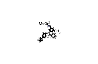 COC(=O)/C=C/c1cc(C)cc(N(Cc2ccc(-n3cccn3)cc2)C(=O)C2CCCCC2)c1